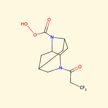 O=C(CC(F)(F)F)N1CC2CC3CC1C(C2)N3C(=O)OO